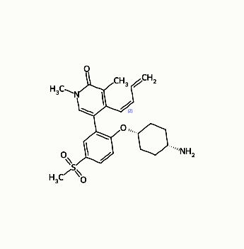 C=C/C=C\c1c(-c2cc(S(C)(=O)=O)ccc2O[C@H]2CC[C@@H](N)CC2)cn(C)c(=O)c1C